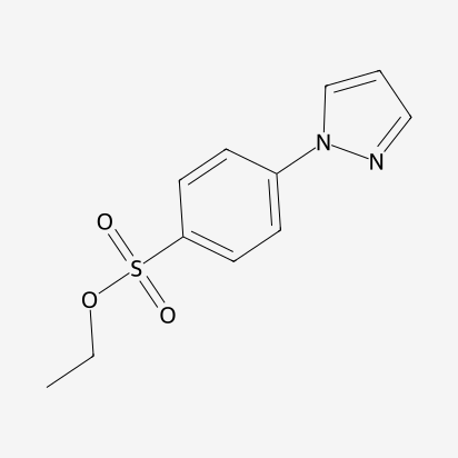 CCOS(=O)(=O)c1ccc(-n2cccn2)cc1